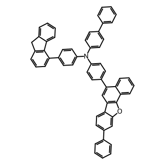 c1ccc(-c2ccc(N(c3ccc(-c4cccc5c4-c4ccccc4C5)cc3)c3ccc(-c4cc5c6ccc(-c7ccccc7)cc6oc5c5ccccc45)cc3)cc2)cc1